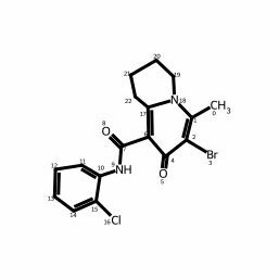 Cc1c(Br)c(=O)c(C(=O)Nc2ccccc2Cl)c2n1CCCC2